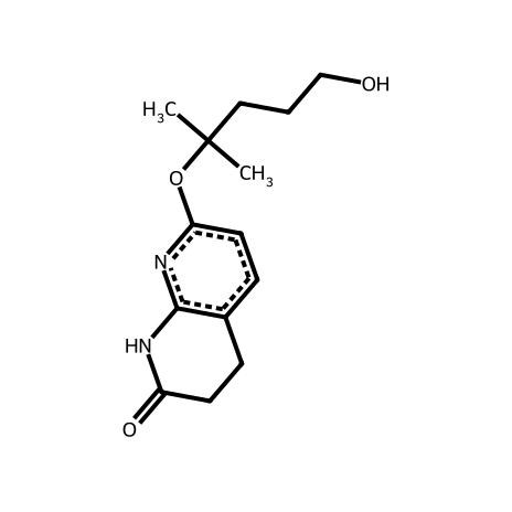 CC(C)(CCCO)Oc1ccc2c(n1)NC(=O)CC2